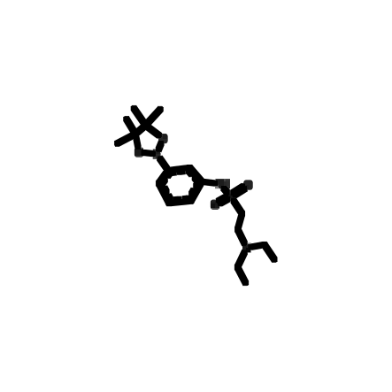 CCN(CC)CCS(=O)(=O)Nc1cccc(B2OC(C)(C)C(C)(C)O2)c1